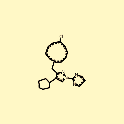 Clc1ccccc(Cc2nn(-c3ncccn3)cc2C2CCCCC2)cccc1